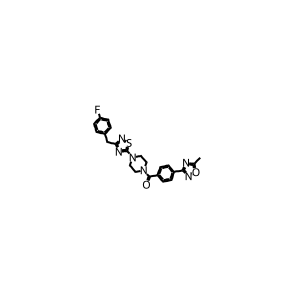 Cc1nc(-c2ccc(C(=O)N3CCN(c4nc(Cc5ccc(F)cc5)ns4)CC3)cc2)no1